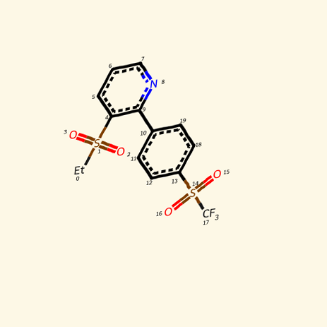 CCS(=O)(=O)c1cccnc1-c1ccc(S(=O)(=O)C(F)(F)F)cc1